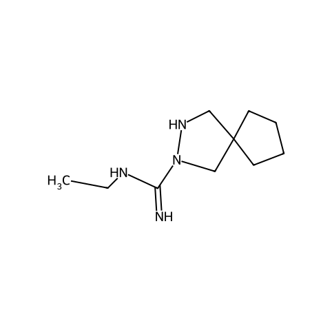 CCNC(=N)N1CC2(CCCC2)CN1